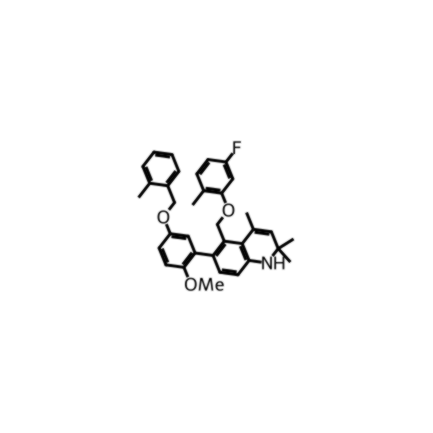 COc1ccc(OCc2ccccc2C)cc1-c1ccc2c(c1COc1cc(F)ccc1C)C(C)=CC(C)(C)N2